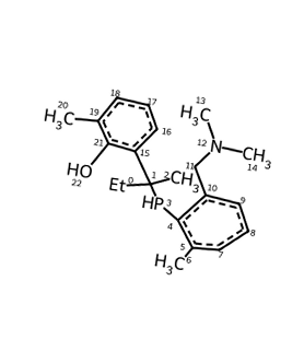 CCC(C)(Pc1c(C)cccc1CN(C)C)c1cccc(C)c1O